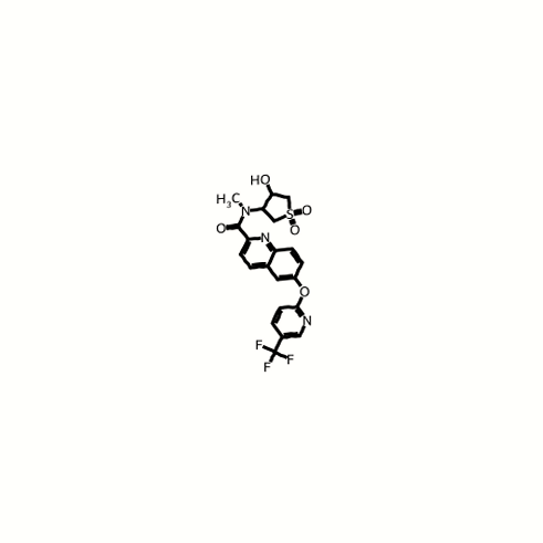 CN(C(=O)c1ccc2cc(Oc3ccc(C(F)(F)F)cn3)ccc2n1)C1CS(=O)(=O)CC1O